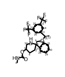 CNC(=O)OC1CC[C@@](CO[C@H](C)c2cc(C(F)(F)F)cc(C(F)(F)F)c2)(c2ccccc2)NC1